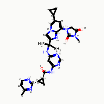 BC(B)(Nc1cc(NC(=O)[C@H]2C[C@@H]2c2nccc(C)n2)ncn1)c1cn2cc(C3CC3)cc(N3CC(=O)N(C)C3=O)c2n1